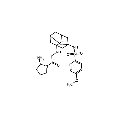 N[C@@H]1CCCN1C(=O)CNC12CC3CC(C1)CC(NS(=O)(=O)c1ccc(OC(F)(F)F)cc1)(C3)C2